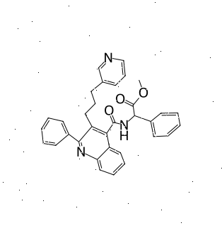 COC(=O)C(NC(=O)c1c(CCCc2cccnc2)c(-c2ccccc2)nc2ccccc12)c1ccccc1